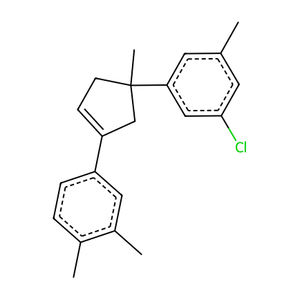 Cc1cc(Cl)cc(C2(C)CC=C(c3ccc(C)c(C)c3)C2)c1